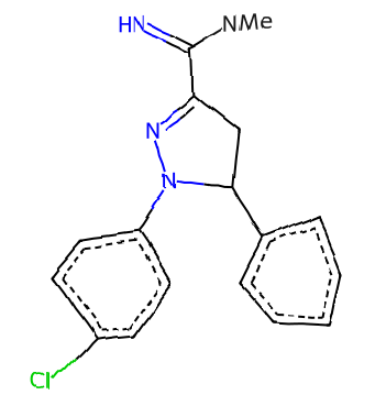 CNC(=N)C1=NN(c2ccc(Cl)cc2)C(c2ccccc2)C1